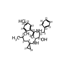 CC(C)CCC1(NC[C@@H](O)[C@H](Cc2ccccc2)NC(=O)c2ccccc2)CC1.Cl